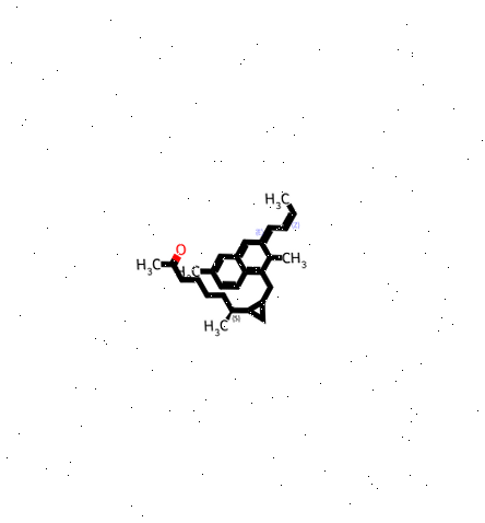 C/C=C\C=C1\C=c2cc(C)ccc2=C(CC2CC2[C@@H](C)CCCCC(C)=O)C1C